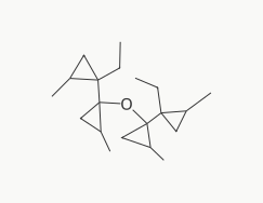 CCC1(C2(OC3(C4(CC)CC4C)CC3C)CC2C)CC1C